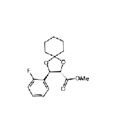 COC(=O)[C@H]1OC2(CCCCC2)O[C@@H]1c1ccccc1F